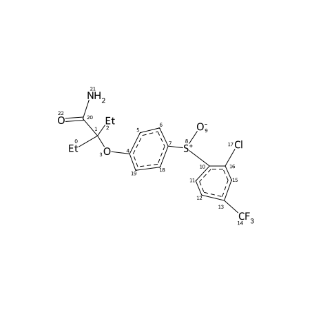 CCC(CC)(Oc1ccc([S+]([O-])c2ccc(C(F)(F)F)cc2Cl)cc1)C(N)=O